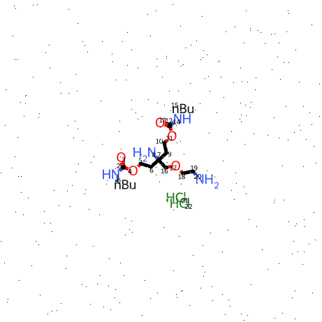 CCCCNC(=O)OCCC(N)(CCOC(=O)NCCCC)COCCN.Cl.Cl